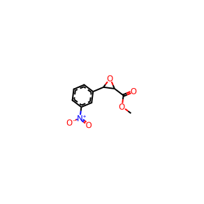 COC(=O)C1OC1c1cccc([N+](=O)[O-])c1